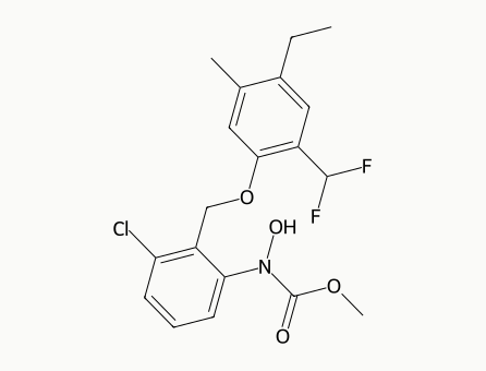 CCc1cc(C(F)F)c(OCc2c(Cl)cccc2N(O)C(=O)OC)cc1C